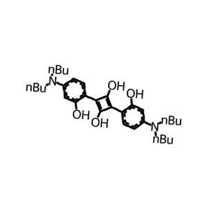 CCCCN(CCCC)c1ccc(C2=C(O)C(c3ccc(N(CCCC)CCCC)cc3O)=C2O)c(O)c1